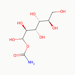 NC(=O)OC(O)[C@@H](O)[C@@H](O)[C@H](O)[C@H](O)CO